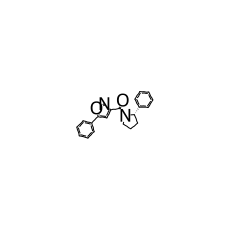 O=C(c1cc(-c2ccccc2)on1)N1CCC[C@H]1c1ccccc1